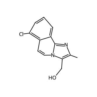 Cc1nc2c3cccc(Cl)c3ccn2c1CO